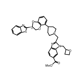 COC(=O)c1ccc2nc(CN3CCC(c4cccc5c4OC[C@@H](c4nc6ccccc6s4)O5)CC3)n(CC3CCO3)c2c1